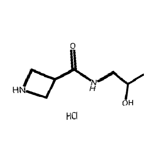 CC(O)CNC(=O)C1CNC1.Cl